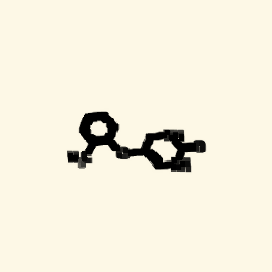 Cc1ccccc1OC1=CNC(=O)NC1